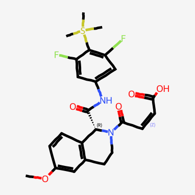 COc1ccc2c(c1)CCN(C(=O)/C=C\C(=O)O)[C@H]2C(=O)Nc1cc(F)c(S(C)(C)C)c(F)c1